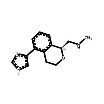 CNC[C@H]1OCCc2c(-c3c[nH]cn3)cccc21